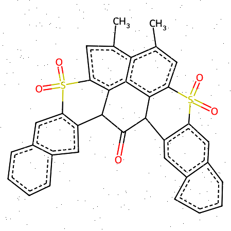 Cc1cc2c3c4c5c(cc(C)c14)S(=O)(=O)c1cc4ccccc4cc1C5C(=O)C3c1cc3ccccc3cc1S2(=O)=O